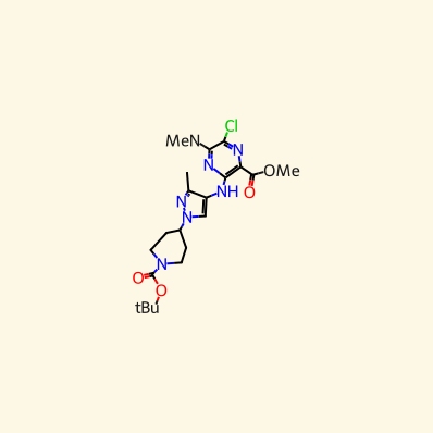 CNc1nc(Nc2cn(C3CCN(C(=O)OC(C)(C)C)CC3)nc2C)c(C(=O)OC)nc1Cl